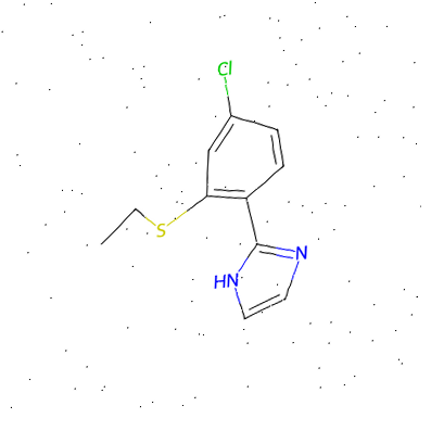 CCSc1cc(Cl)ccc1-c1ncc[nH]1